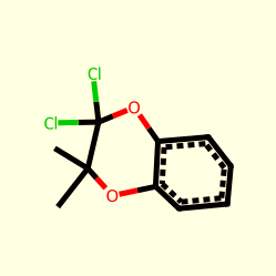 CC1(C)Oc2ccccc2OC1(Cl)Cl